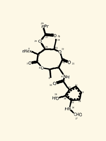 CCCCCCC1C(=O)OC(C)C(NC(=O)c2cccc(NC=O)c2O)C(=O)OC(C)C1OC(=O)CCC